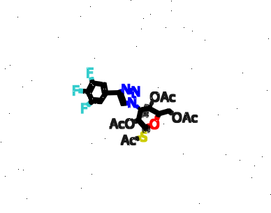 CC(=O)OCC1O[C@H](SC(C)=O)C(OC(C)=O)[C@@H](n2cc(-c3cc(F)c(F)c(F)c3)nn2)[C@H]1OC(C)=O